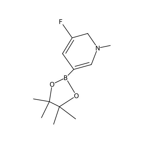 CN1C=C(B2OC(C)(C)C(C)(C)O2)C=C(F)C1